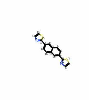 c1csc(-c2ccc3cc(-c4nccs4)ccc3c2)n1